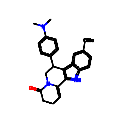 COc1ccc2[nH]c3c(c2c1)C(c1ccc(N(C)C)cc1)CN1C(=O)CCC=C31